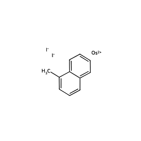 Cc1cccc2ccccc12.[I-].[I-].[Os+2]